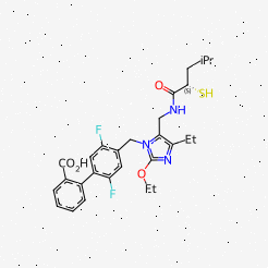 CCOc1nc(CC)c(CNC(=O)[C@@H](S)CC(C)C)n1Cc1cc(F)c(-c2ccccc2C(=O)O)cc1F